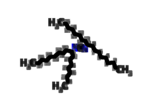 CCCCCCCCCC(CCCCCCCC)N=C=NC(CCCCCCCC)CCCCCCCCC